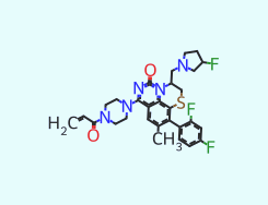 C=CC(=O)N1CCN(c2nc(=O)n3c4c(c(-c5ccc(F)cc5F)c(C)cc24)SCC3CN2CCC(F)C2)CC1